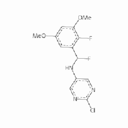 COc1cc(OC)c(F)c(C(F)Nc2cnc(Cl)nc2)c1